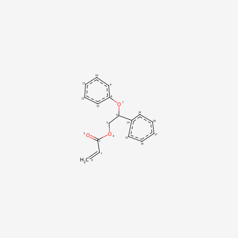 C=CC(=O)OCC(Oc1ccccc1)c1ccccc1